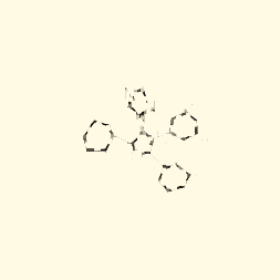 c1ccc(-c2oc(-c3ccccc3)c(-n3cncn3)c2-c2ccccc2)cc1